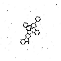 CC1(C)c2ccccc2-c2cc3c4ccccc4n(-c4ccccc4-c4nc(-c5ccccc5)cc(-c5ccccc5)n4)c3cc21